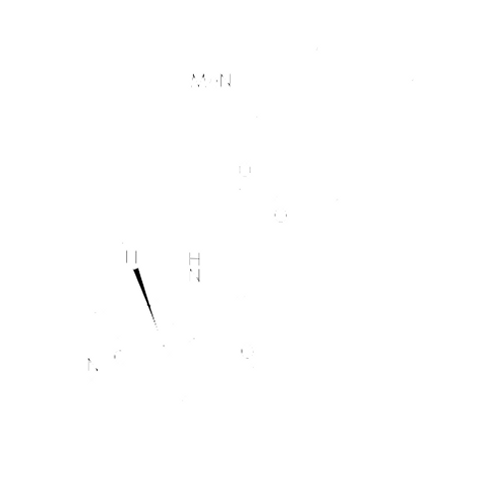 CNC(=O)c1ccccc1-c1ccc(C(=O)N[C@H]2CN3CCC2CC3)o1